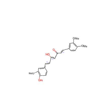 COc1cc(/C=C/C(O)=C/C(=O)/C=C/c2ccc(OC)c(OC)c2)ccc1O